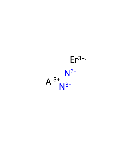 [Al+3].[Er+3].[N-3].[N-3]